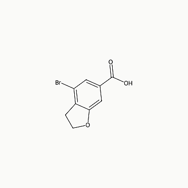 O=C(O)c1cc(Br)c2c(c1)OCC2